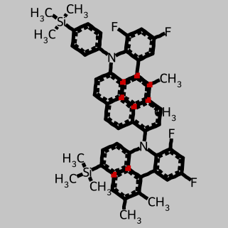 Cc1cccc(-c2cc(F)cc(F)c2N(c2ccc([Si](C)(C)C)cc2)c2ccc3ccc4c(N(c5ccc([Si](C)(C)C)cc5)c5c(F)cc(F)cc5-c5cccc(C)c5C)ccc5ccc2c3c54)c1C